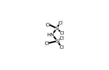 Cl[Si](Cl)(Cl)N[Si](Cl)(Cl)Cl